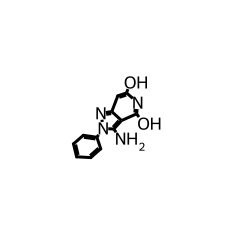 Nc1c2c(O)nc(O)cc2nn1-c1ccccc1